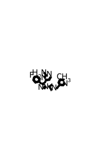 Cc1cncc(CN2CC(n3cnc(-c4ccc(F)cc4)c3-c3ccnc(N)n3)C2)c1